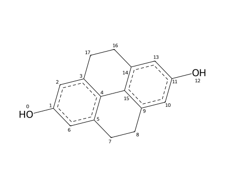 Oc1cc2c3c(c1)CCc1cc(O)cc(c1-3)CC2